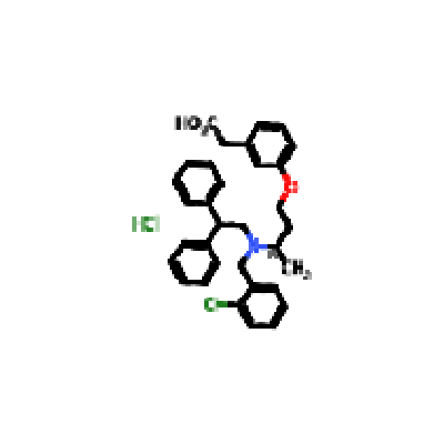 C[C@H](CCOc1cccc(CC(=O)O)c1)N(Cc1ccccc1Cl)CC(c1ccccc1)c1ccccc1.Cl